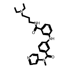 CCN(CC)CCCNC(=O)c1cccc(Nc2cccc(C(=O)N(C)c3ccncc3)c2)c1